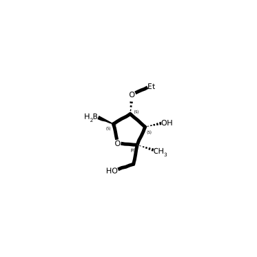 B[C@@H]1O[C@](C)(CO)[C@@H](O)[C@H]1OCC